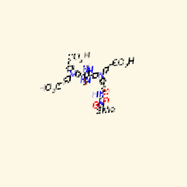 CSC1CC(=O)N(CCNC(=O)CCc2ccc(N(c3ccc(CCC(=O)O)cc3)c3ccc(-c4c5c(c(-c6ccc(N(c7ccc(CCC(=O)O)cc7)c7ccc(CCC(=O)O)cc7)cc6)c6nsnc46)N=S=N5)cc3)cc2)C1=O